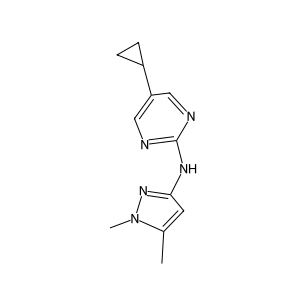 Cc1cc(Nc2ncc(C3CC3)cn2)nn1C